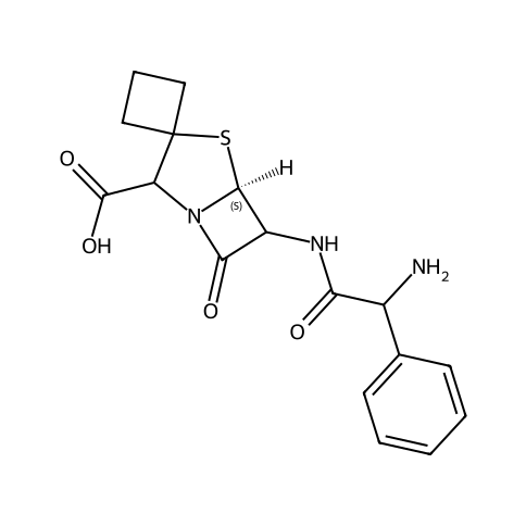 NC(C(=O)NC1C(=O)N2C(C(=O)O)C3(CCC3)S[C@@H]12)c1ccccc1